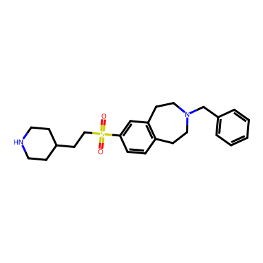 O=S(=O)(CCC1CCNCC1)c1ccc2c(c1)CCN(Cc1ccccc1)CC2